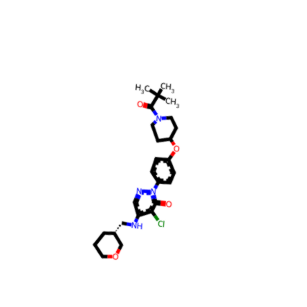 CC(C)(C)C(=O)N1CCC(Oc2ccc(-n3ncc(NC[C@H]4CCCOC4)c(Cl)c3=O)cc2)CC1